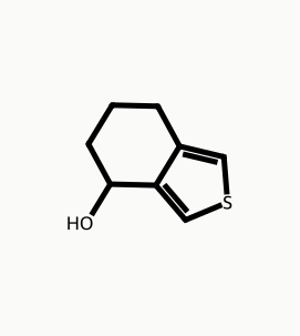 OC1CCCc2cscc21